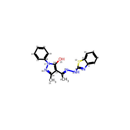 C/C(=N\Nc1nc2ccccc2s1)c1c(C)nn(-c2ccccc2)c1O